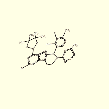 Cc1ccc(C2c3[nH]c4c(B5OC(C)(C)C(C)(C)O5)cc(Cl)cc4c3CCN2c2nccc(C(F)(F)F)n2)c(F)c1F